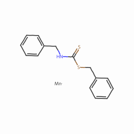 S=C(NCc1ccccc1)SCc1ccccc1.[Mn]